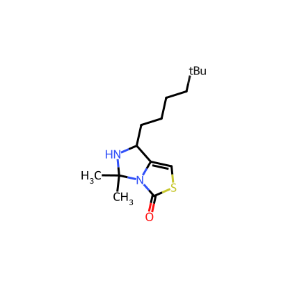 CC(C)(C)CCCCC1NC(C)(C)n2c1csc2=O